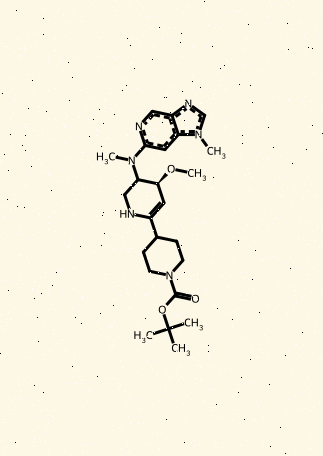 CO[C@H]1C=C(C2CCN(C(=O)OC(C)(C)C)CC2)NCC1N(C)c1cc2c(cn1)ncn2C